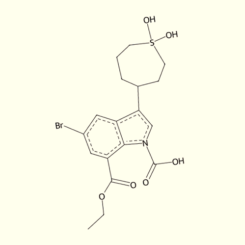 CCOC(=O)c1cc(Br)cc2c(C3CCCS(O)(O)CC3)cn(C(=O)O)c12